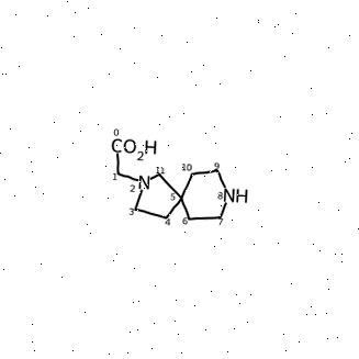 O=C(O)CN1CCC2(CCNCC2)C1